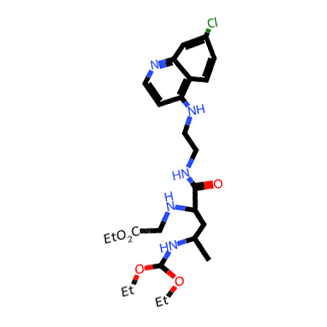 CCOC(=O)CNC(CC(C)NC(OCC)OCC)C(=O)NCCNc1ccnc2cc(Cl)ccc12